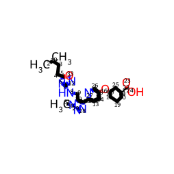 CC(C)CCc1nc(NCc2c(-c3ccc(O[C@H]4CCC[C@H](C(=O)O)C4)cn3)nnn2C)no1